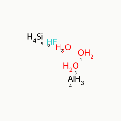 F.O.O.O.[AlH3].[SiH4]